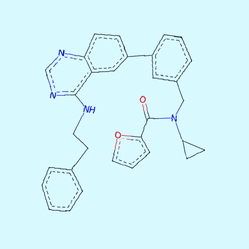 O=C(c1ccco1)N(Cc1cccc(-c2ccc3ncnc(NCCc4ccccc4)c3c2)c1)C1CC1